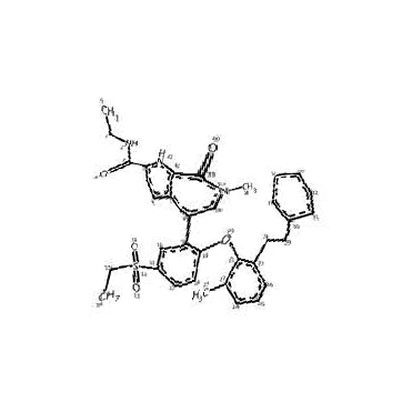 CCNC(=O)c1cc2c(-c3cc(S(=O)(=O)CC)ccc3Oc3c(C)cccc3CCc3ccccc3)cn(C)c(=O)c2[nH]1